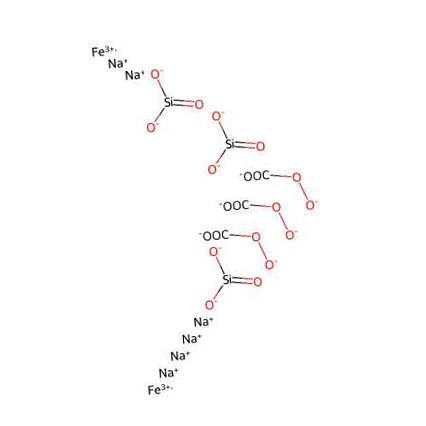 O=C([O-])O[O-].O=C([O-])O[O-].O=C([O-])O[O-].O=[Si]([O-])[O-].O=[Si]([O-])[O-].O=[Si]([O-])[O-].[Fe+3].[Fe+3].[Na+].[Na+].[Na+].[Na+].[Na+].[Na+]